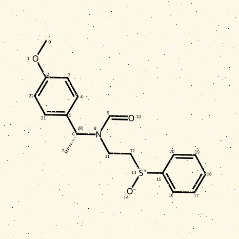 COc1ccc([C@@H](C)N(C=O)CC[S+]([O-])c2ccccc2)cc1